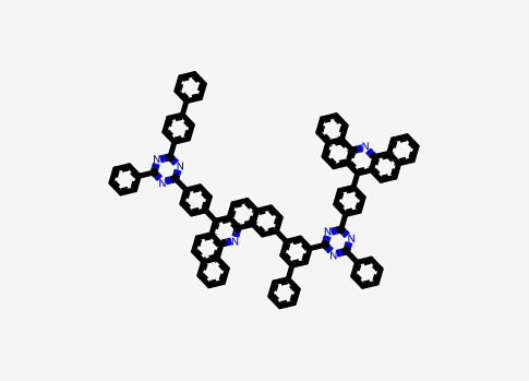 c1ccc(-c2ccc(-c3nc(-c4ccccc4)nc(-c4ccc(-c5c6ccc7ccccc7c6nc6c5ccc5ccc(-c7cc(-c8ccccc8)cc(-c8nc(-c9ccccc9)nc(-c9ccc(-c%10c%11ccc%12ccccc%12c%11nc%11c%10ccc%10ccccc%10%11)cc9)n8)c7)cc56)cc4)n3)cc2)cc1